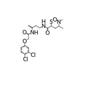 C=C(CCNC(=O)C1CC(C)N(C)OS1)NC(=O)COc1ccc(Cl)c(Cl)c1